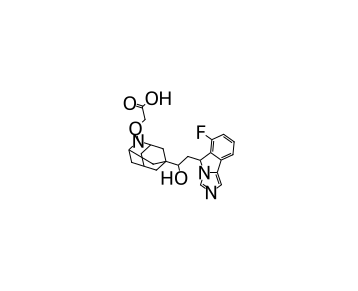 O=C(O)CON1C2CC3CC1CC(C(O)CC1c4c(F)cccc4-c4cncn41)(C3)C2